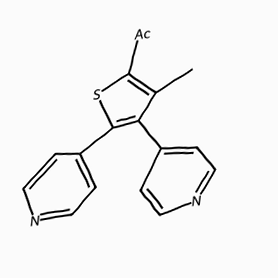 CC(=O)c1sc(-c2ccncc2)c(-c2ccncc2)c1C